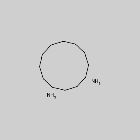 C1CCCCCCCCCCC1.N.N